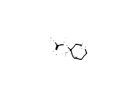 N=C(N)N[C@@H]1CN2CCC1CC2